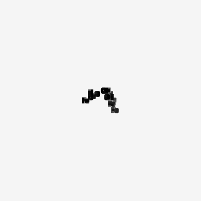 O.O.O.O.[Fe].[Fe].[Fe]